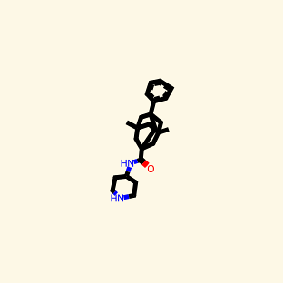 CC12CC3(C)CC(C(=O)NC4CCNCC4)(C1)CC(c1ccccc1)(C2)C3